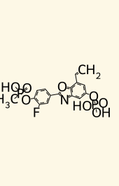 C=Cc1cc(OP(=O)(O)O)cc2nc(-c3ccc(OP(C)(=O)O)c(F)c3)oc12